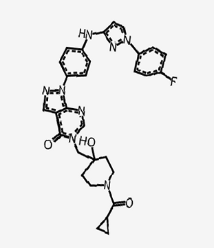 O=C(C1CC1)N1CCC(O)(Cn2cnc3c(cnn3-c3ccc(Nc4ccn(-c5ccc(F)cc5)n4)cc3)c2=O)CC1